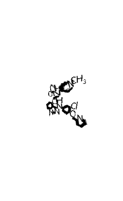 CC(=O)N(CCOc1cccc2ncnc(Nc3ccc(OCc4ccccn4)c(Cl)c3)c12)C1CCN(C)CC1